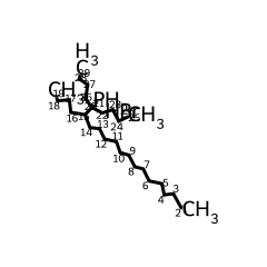 Br.CCCCCCCCCCCCCCC(CCCC)C(P)(CCCC)CCCC